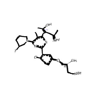 CNC[C@@H](O)COc1ccc(Cl)c(-c2nc(/C(C(C)=N)=C(\C)O)c(C)c(N3CCCC(F)C3)n2)c1